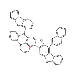 C1=CCC(c2ccccc2N(c2ccc3c(c2)oc2c(-c4ccc5ccccc5c4)c4c(cc23)oc2ccccc24)c2cccc3c2oc2ccccc23)C=C1